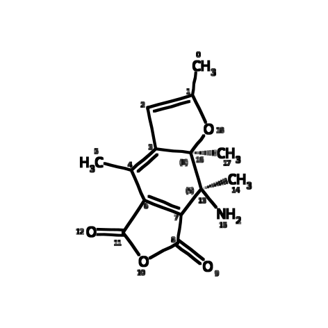 CC1=CC2=C(C)C3=C(C(=O)OC3=O)[C@](C)(N)[C@]2(C)O1